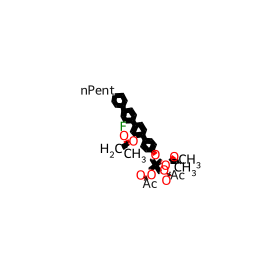 C=C(C)C(=O)Oc1cc(-c2ccc(C3CCC(CCCCC)CC3)cc2F)ccc1-c1ccc(OCC(COC(=O)C(C)=O)(COC(=O)C(C)=O)COC2OC2(C)C)cc1